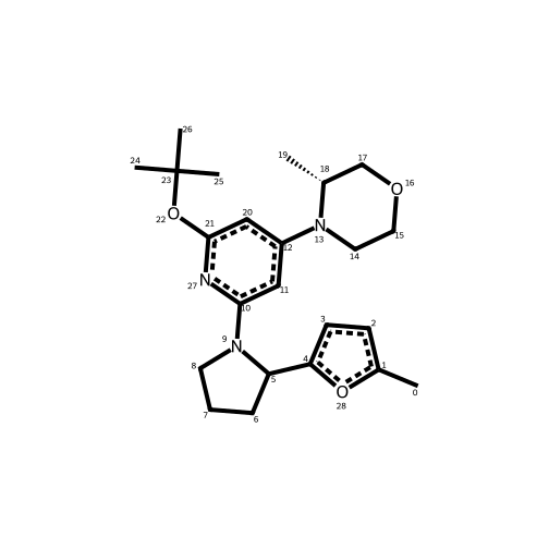 Cc1ccc(C2CCCN2c2cc(N3CCOC[C@H]3C)cc(OC(C)(C)C)n2)o1